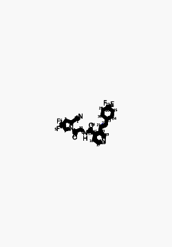 N#CC1CC(F)(F)CN1C(=O)CNC(=O)c1ccncc1/C=C/C1CCC(F)(F)CC1